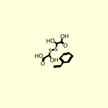 C=Cc1ccccc1.O=C(O)C(O)SSC(O)C(=O)O